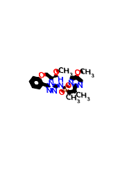 COC[C@@H]1COc2ccccc2-c2nnc(NS(=O)(=O)C(C)C(C)c3ncc(OC)cn3)n21